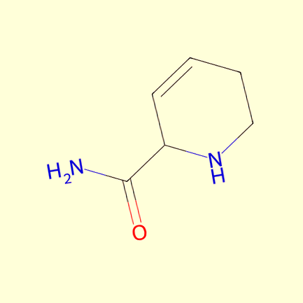 NC(=O)C1C=CCCN1